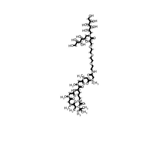 CN(CC(=O)NCCOCCOCCOCCC(=O)N(C[C@H](O)[C@@H](O)[C@H](O)[C@H](O)CO)C[C@H](O)[C@@H](O)[C@H](O)[C@H](O)CO)C(=O)CN(C)C(=O)CN(C)C(=O)C(CCCNC(=O)OC(C)(C)C)NC(=O)CN(C)C(=O)CN(C)C(=O)CN